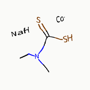 CN(C)C(=S)S.[Co].[NaH]